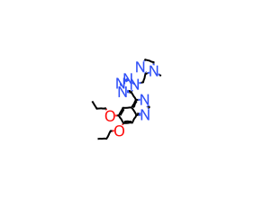 CCCOc1cc2ncnc(-c3nnnn3CC3=NCCN3C)c2cc1OCCC